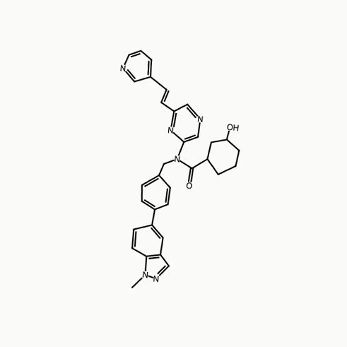 Cn1ncc2cc(-c3ccc(CN(C(=O)C4CCCC(O)C4)c4cncc(/C=C/c5cccnc5)n4)cc3)ccc21